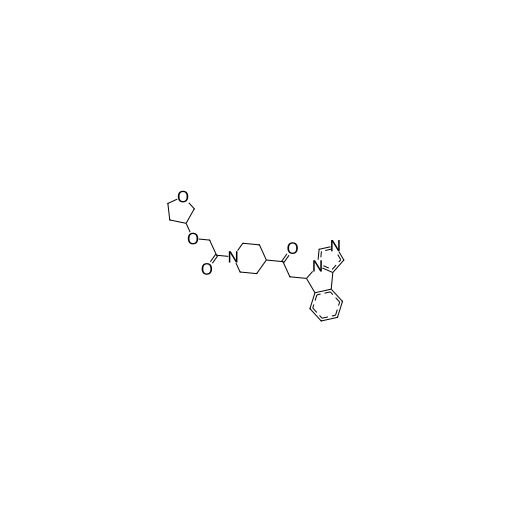 O=C(CC1c2ccccc2-c2cncn21)C1CCN(C(=O)COC2CCOC2)CC1